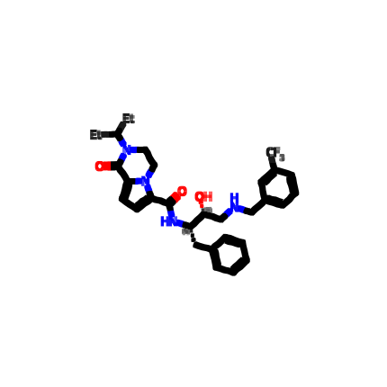 CCC(CC)N1CCn2c(C(=O)N[C@@H](Cc3ccccc3)[C@H](O)CNCc3cccc(C(F)(F)F)c3)ccc2C1=O